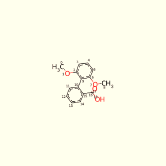 COc1cccc(OC)c1-c1ccccc1C(=O)O